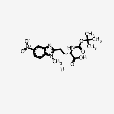 Cn1c(CC[C@H](NC(=O)OC(C)(C)C)C(=O)O)nc2cc([N+](=O)[O-])ccc21.[Li]